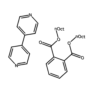 CCCCCCCCOC(=O)c1ccccc1C(=O)OCCCCCCCC.c1cc(-c2ccncc2)ccn1